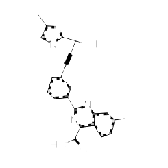 Cc1cnc([C@@](C)(O)C#Cc2cccc(-c3nc(C(=O)O)c4ccc(F)cc4n3)c2)o1